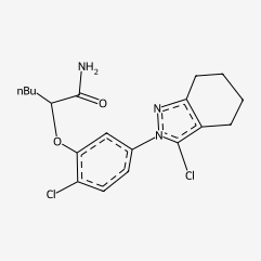 CCCCC(Oc1cc(-n2nc3c(c2Cl)CCCC3)ccc1Cl)C(N)=O